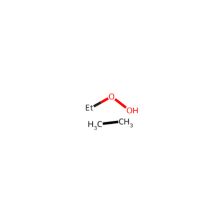 CC.CCOO